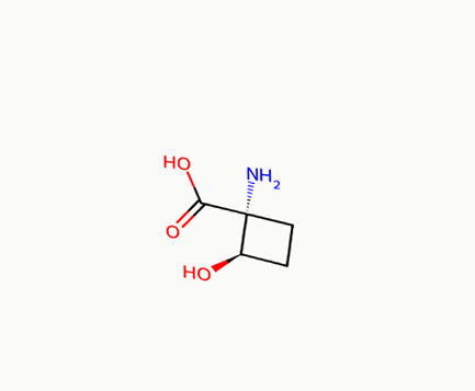 N[C@]1(C(=O)O)CC[C@H]1O